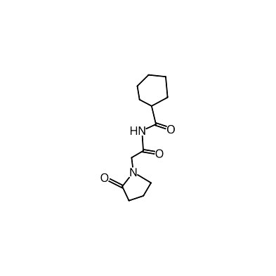 O=C(CN1CCCC1=O)NC(=O)C1CCCCC1